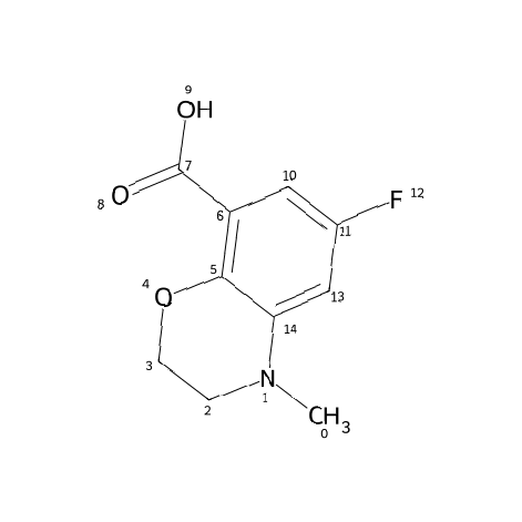 CN1CCOc2c(C(=O)O)cc(F)cc21